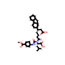 COC(=O)c1ccc(NC(=O)N(C(=O)CCC[C@H](CC(=O)O)c2ccc3c(c2)Cc2ccccc2-3)[C@@H](CC(C)C)C(=O)O)cc1